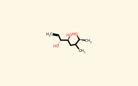 C=C[C@@H](O)[C@@H](O)CC(C)[C@H](C)O